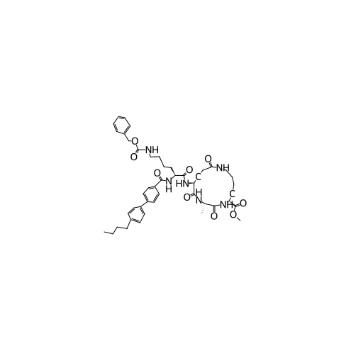 CCCCc1ccc(-c2ccc(C(=O)N[C@@H](CCCCNC(=O)OCc3ccccc3)C(=O)N[C@H]3CCC(=O)NCCCC[C@@H](C(=O)OC)NC(=O)[C@H](C)NC3=O)cc2)cc1